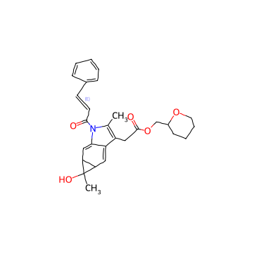 Cc1c(CC(=O)OCC2CCCCO2)c2c(n1C(=O)/C=C/c1ccccc1)=CC1C(C=2)C1(C)O